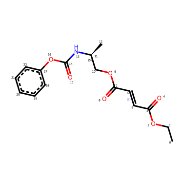 CCOC(=O)/C=C/C(=O)OC[C@H](C)NC(=O)Oc1ccccc1